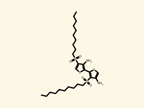 CCCCCCCCCCS(=O)(=O)c1csc(-c2scc(N)c2S(=O)(=O)CCCCCCCCCC)c1N